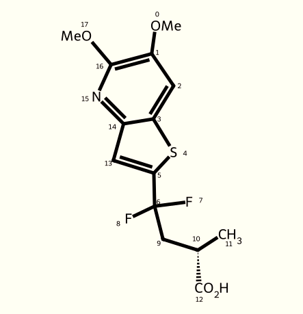 COc1cc2sc(C(F)(F)C[C@H](C)C(=O)O)cc2nc1OC